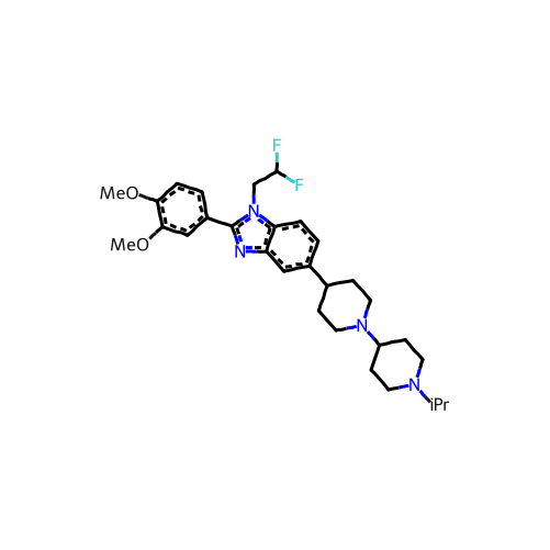 COc1ccc(-c2nc3cc(C4CCN(C5CCN(C(C)C)CC5)CC4)ccc3n2CC(F)F)cc1OC